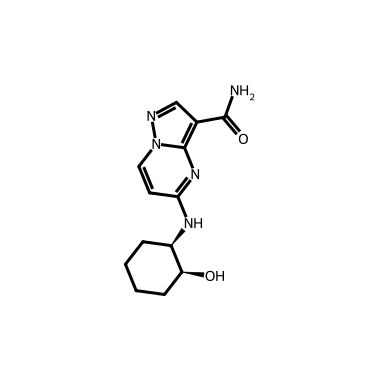 NC(=O)c1cnn2ccc(N[C@@H]3CCCC[C@@H]3O)nc12